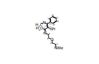 C=N/C(=C(CCC)\C(C)=N/CCOCCNC)c1ccccc1